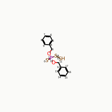 S=P(OCc1ccccc1)(OCc1ccccc1)SS